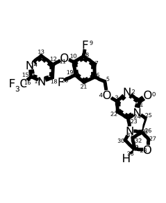 O=c1nc(OCc2cc(F)c(Oc3cnc(C(F)(F)F)nc3)c(F)c2)cc2n1C[C@]13CO[C@H](CN21)C3